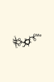 COC(=O)Cc1ccc(C)c(B2OC(C)(C)C(C)(C)O2)c1